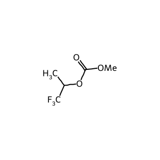 COC(=O)OC(C)C(F)(F)F